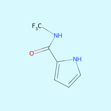 O=C(NC(F)(F)F)c1ccc[nH]1